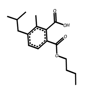 CCCCOC(=O)c1ccc(CC(C)C)c(C)c1C(=O)O